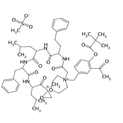 CC(=O)c1cc(C[N+]2(CC(=O)NC(CCc3ccccc3)C(=O)NC(CC(C)C)C(=O)NC(Cc3ccccc3)C(=O)NC(CC(C)C)C(=O)[C@@]3(C)CO3)CCOCC2)ccc1OC(=O)C(C)(C)C.CS(=O)(=O)[O-]